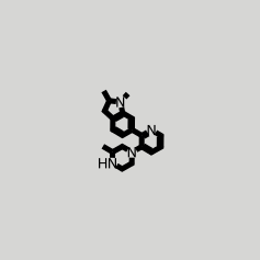 CC1CN(c2cccnc2-c2ccc3c(c2)N(C)C(C)C3)CCN1